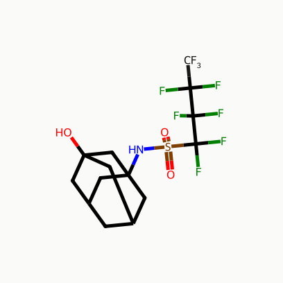 O=S(=O)(NC12CC3CC(CC(O)(C3)C1)C2)C(F)(F)C(F)(F)C(F)(F)C(F)(F)F